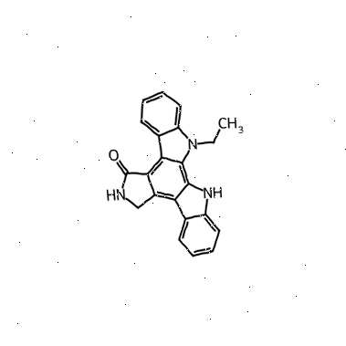 CCn1c2ccccc2c2c3c(c4c5ccccc5[nH]c4c21)CNC3=O